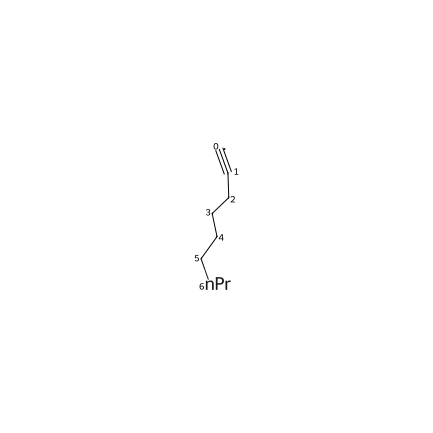 [C]#CCCCCCC[CH2]